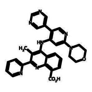 Cc1c(-c2ccccn2)nc2c(C(=O)O)cccc2c1Nc1cc(N2CCOCC2)ncc1-c1cncnc1